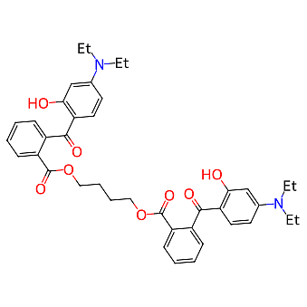 CCN(CC)c1ccc(C(=O)c2ccccc2C(=O)OCCCCOC(=O)c2ccccc2C(=O)c2ccc(N(CC)CC)cc2O)c(O)c1